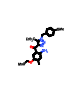 CCOC(=O)c1c(C(=O)c2cc(OCOC)c(C)cc2N)nnn1Cc1ccc(OC)cc1